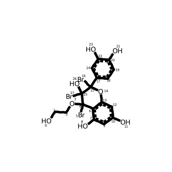 OCCOC1(Br)c2c(O)cc(O)cc2OC(Br)(c2ccc(O)c(O)c2)C1(O)Br